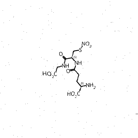 N[C@H](CCC(=O)N[C@H](CS[N+](=O)[O-])C(=O)NCC(=O)O)C(=O)O